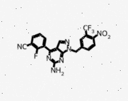 N#Cc1cccc(-c2nc(N)nc3c2cnn3Cc2ccc([N+](=O)[O-])c(C(F)(F)F)c2)c1F